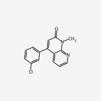 Cn1c(=O)cc(-c2cccc(Cl)c2)c2cccnc21